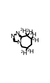 [2H]C1([2H])Cn2cnnc2C([2H])([2H])C([2H])([2H])C1